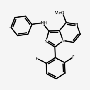 COc1nccn2c(-c3c(F)cccc3F)nc(Nc3cc[c]cc3)c12